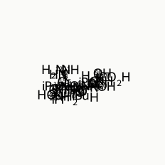 CC[C@H](C)[C@H](NC(=O)[C@@H](CCCNC(=N)N)NC(=O)[C@H](CC(C)C)NC(=O)[C@@H](N)[C@H](O)C(C)C)C(=O)N[C@H](C(=O)NCC(=O)N[C@@H](CO)C(=O)N[C@@H](CO)C(=O)O)C(C)C